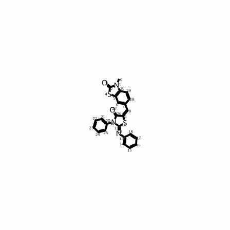 Cn1c(=O)sc2cc(C=C3S/C(=N\c4ccccc4)N(c4ccccc4)C3=O)ccc21